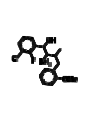 COc1ccccc1CC(C)C(N)C(O)c1cccc(Cl)c1F